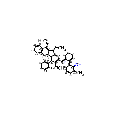 C=CC1=C2C(CC)C3=CC(/C=C4\CCCC=C4C4CC=CC(=C)C4=N)=C(C=C)C(C4=CCCC=C4)C3C2CC2=C1C=CCC2